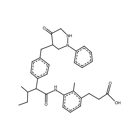 CCC(C)C(C(=O)Nc1cccc(CCC(=O)O)c1C)c1ccc(CC2CN(c3ccccc3)NCC2=O)cc1